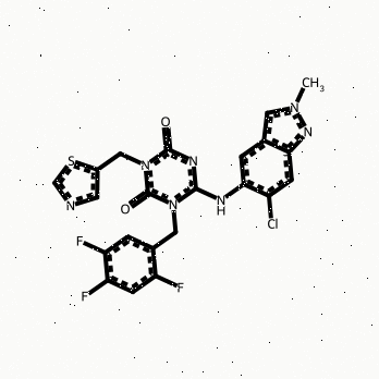 Cn1cc2cc(Nc3nc(=O)n(Cc4cncs4)c(=O)n3Cc3cc(F)c(F)cc3F)c(Cl)cc2n1